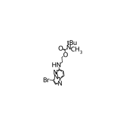 CN(C(=O)OCCNc1ccc2ncc(Br)n2n1)C(C)(C)C